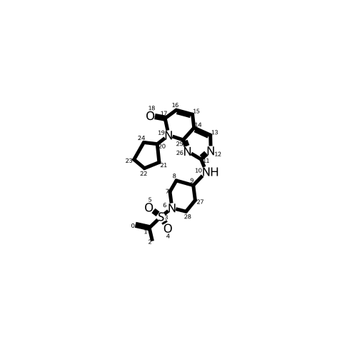 C=C(C)S(=O)(=O)N1CCC(Nc2ncc3ccc(=O)n(C4CCCC4)c3n2)CC1